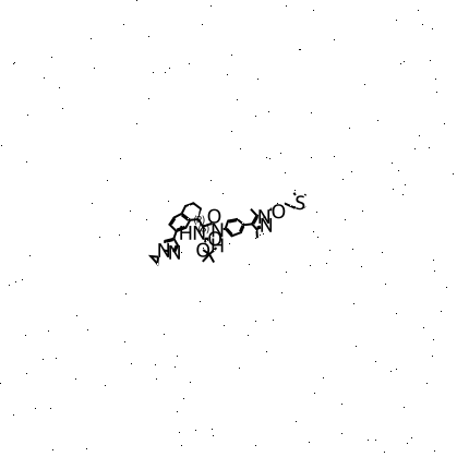 Cc1nn(COCCS(C)(C)C)c(C)c1-c1ccc(NC(=O)[C@@H](NC(=O)OC(C)(C)C)[C@@H]2CCCc3ccc(-c4cnn(C5CC5)c4)cc32)cc1